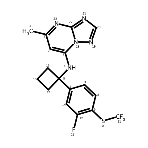 Cc1cc(NC2(c3ccc(SC(F)(F)F)c(F)c3)CCC2)n2ncnc2n1